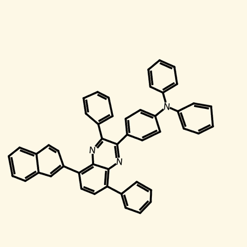 c1ccc(-c2nc3c(-c4ccc5ccccc5c4)ccc(-c4ccccc4)c3nc2-c2ccc(N(c3ccccc3)c3ccccc3)cc2)cc1